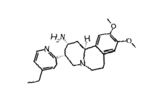 CCc1ccnc([C@H]2CN3CCc4cc(OC)c(OC)cc4[C@@H]3C[C@H]2N)c1